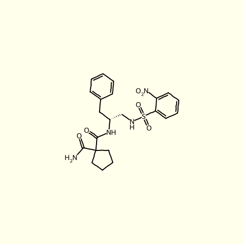 NC(=O)C1(C(=O)N[C@@H](CNS(=O)(=O)c2ccccc2[N+](=O)[O-])Cc2ccccc2)CCCC1